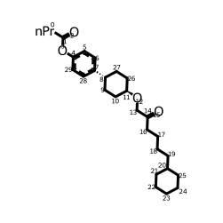 CCCC(=O)Oc1ccc([C@H]2CC[C@H](OCC(=O)CCCCC3CCCCC3)CC2)cc1